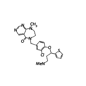 CNCCC(Oc1ccc(CN2CCN(C)c3ncncc3C2=O)cc1Cl)c1cccs1